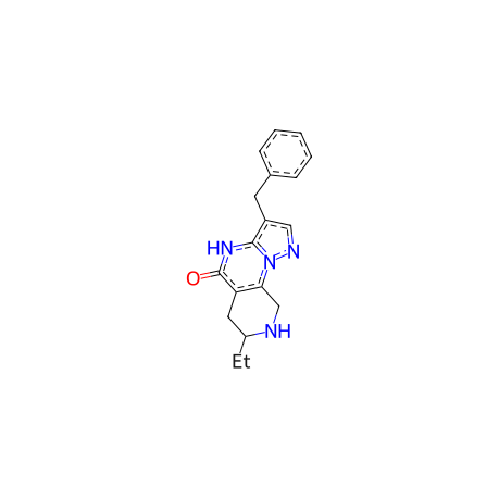 CCC1Cc2c(n3ncc(Cc4ccccc4)c3[nH]c2=O)CN1